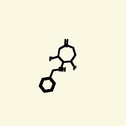 FC1CCNCC(F)C1NCc1ccccc1